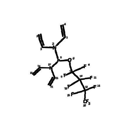 C=CN(C=C)P(OC(F)(F)C(F)(F)C(F)(F)C(F)(F)F)N(C=C)C=C